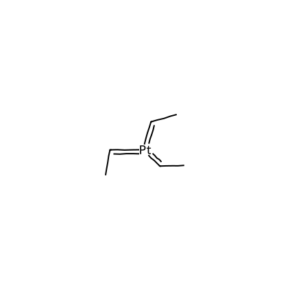 C[CH]=[Pt](=[CH]C)=[CH]C